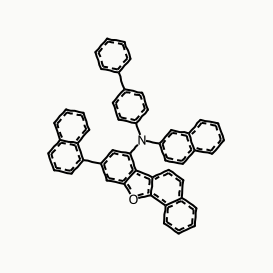 c1ccc(-c2ccc(N(c3ccc4ccccc4c3)c3cc(-c4cccc5ccccc45)cc4oc5c6ccccc6ccc5c34)cc2)cc1